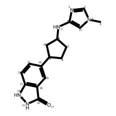 Cn1cnc(NC2CCC(c3ccc4[nH][nH]c(=O)c4c3)C2)c1